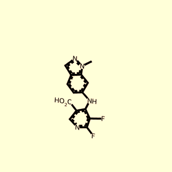 Cn1ncc2ccc(Nc3c(C(=O)O)cnc(F)c3F)cc21